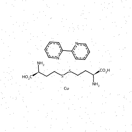 N[C@@H](CCSSCC[C@H](N)C(=O)O)C(=O)O.[Cu].c1ccc(-c2ccccn2)nc1